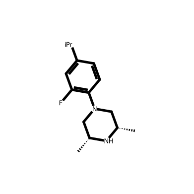 CC(C)c1ccc(N2C[C@@H](C)N[C@@H](C)C2)c(F)c1